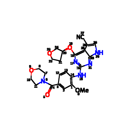 COc1cc(C(=O)N2CCOCC2)ccc1Nc1nc(O[C@H]2CCOC2)c2c(C#N)c[nH]c2n1